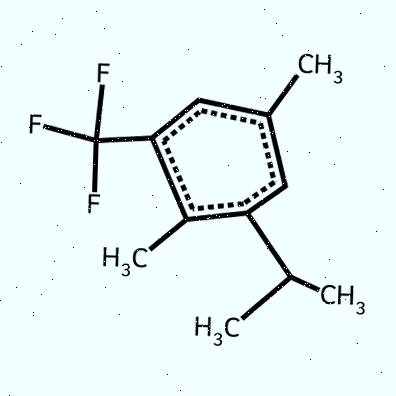 Cc1cc(C(C)C)c(C)c(C(F)(F)F)c1